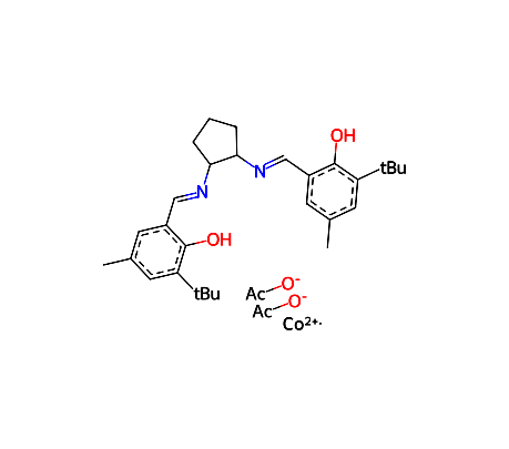 CC(=O)[O-].CC(=O)[O-].Cc1cc(C=NC2CCCC2N=Cc2cc(C)cc(C(C)(C)C)c2O)c(O)c(C(C)(C)C)c1.[Co+2]